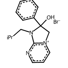 CC(C)CN1c2nccc[n+]2CC1(O)c1ccccc1.[Br-]